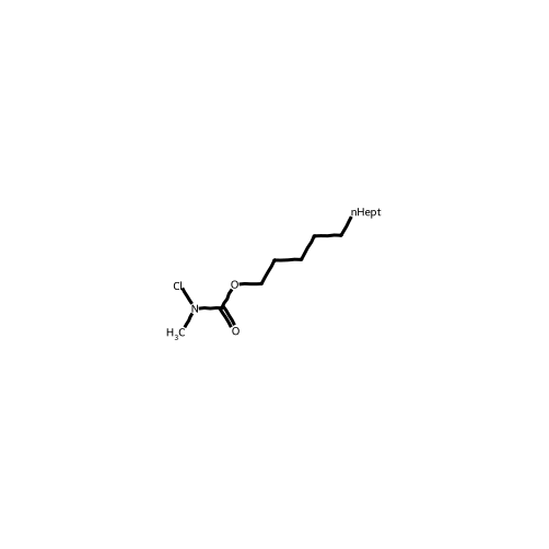 CCCCCCCCCCCCOC(=O)N(C)Cl